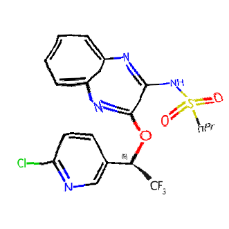 CCCS(=O)(=O)Nc1nc2ccccc2nc1O[C@H](c1ccc(Cl)nc1)C(F)(F)F